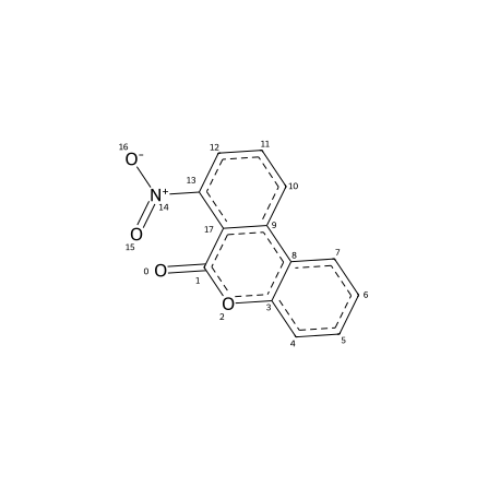 O=c1oc2ccccc2c2cccc([N+](=O)[O-])c12